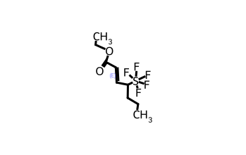 CCCC(/C=C/C(=O)OCC)S(F)(F)(F)(F)F